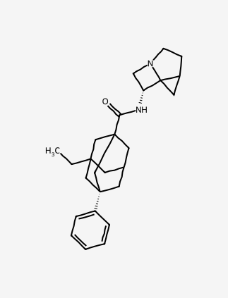 CCC12CC3CC(C(=O)N[C@@H]4CN5CCC6CC645)(C1)C[C@@](c1ccccc1)(C3)C2